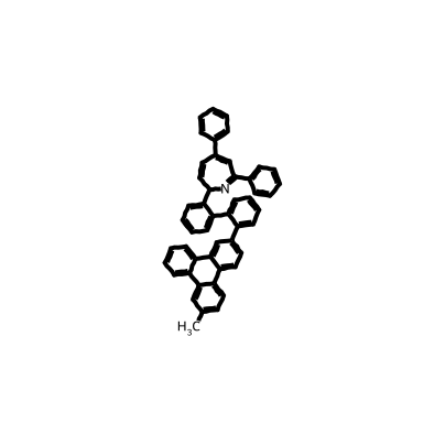 Cc1ccc2c3ccc(-c4ccccc4-c4ccccc4C4C=CC(c5ccccc5)=CC(c5ccccc5)=N4)cc3c3ccccc3c2c1